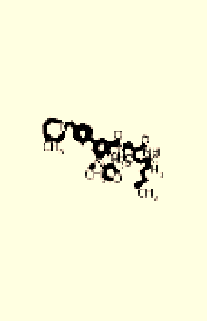 CCCCCC1(C)CC(C)C(CNC(=O)c2cc(-c3ccc(CN4CCCCC(C)CC4)cc3)cc(N(CC)C3CCOCC3)c2C)C(=O)N1